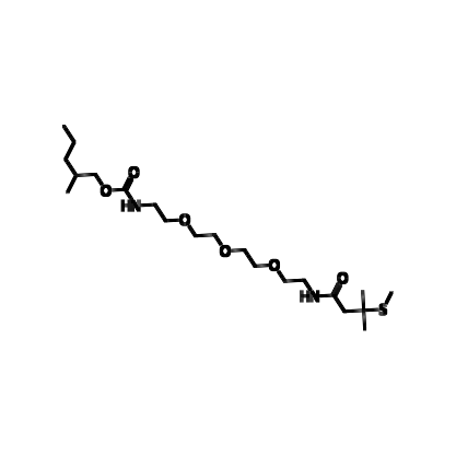 CCCC(C)COC(=O)NCCOCCOCCOCCNC(=O)CC(C)(C)SC